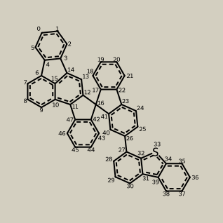 c1ccc2c(c1)-c1cccc3c4c(cc-2c13)C1(c2ccccc2-c2ccc(-c3cccc5c3sc3ccccc35)cc21)c1ccccc1-4